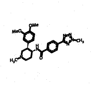 COc1ccc([C@H]2CN(C)CC[C@H]2NC(=O)c2ccc(-c3nnn(C)n3)cc2)cc1OC